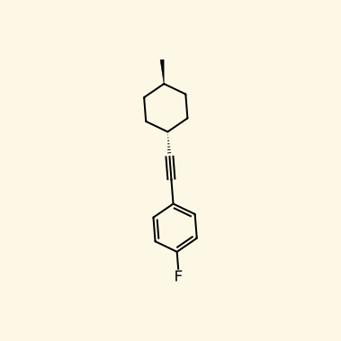 C[C@H]1CC[C@H](C#Cc2ccc(F)cc2)CC1